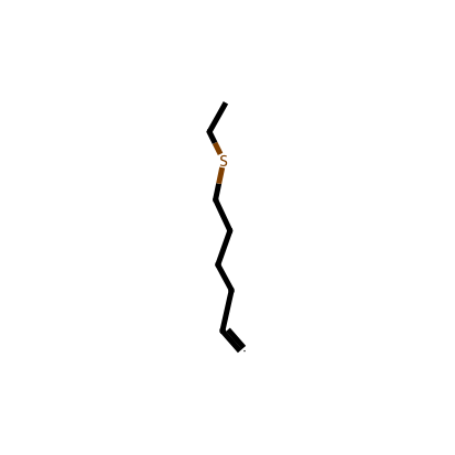 [CH]=CCCCCSCC